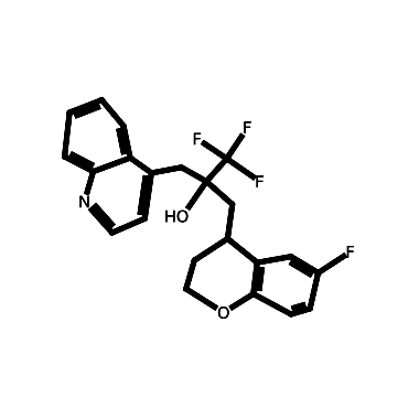 OC(Cc1ccnc2ccccc12)(CC1CCOc2ccc(F)cc21)C(F)(F)F